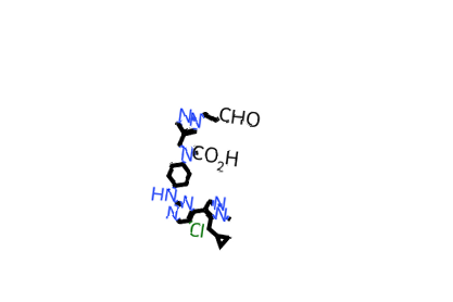 Cn1ncc(-c2nc(NC3CCC(N(Cc4cnn(CCC=O)c4)C(=O)O)CC3)ncc2Cl)c1CC1CC1